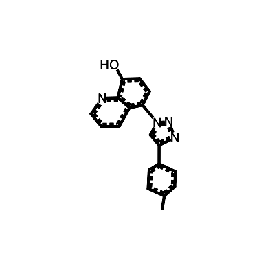 Cc1ccc(-c2cn(-c3ccc(O)c4ncccc34)nn2)cc1